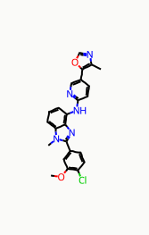 COc1cc(-c2nc3c(Nc4ccc(-c5ocnc5C)cn4)cccc3n2C)ccc1Cl